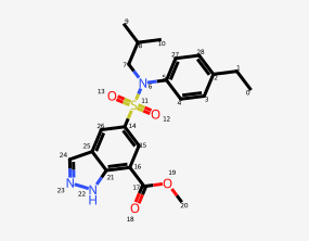 CCc1ccc(N(CC(C)C)S(=O)(=O)c2cc(C(=O)OC)c3[nH]ncc3c2)cc1